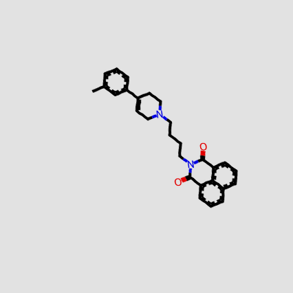 Cc1cccc(C2=CCN(CCCCN3C(=O)c4cccc5cccc(c45)C3=O)CC2)c1